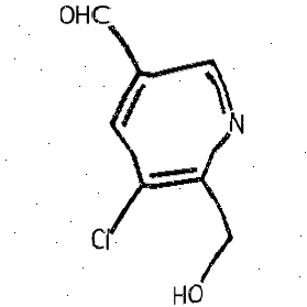 O=Cc1cnc(CO)c(Cl)c1